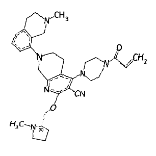 C=CC(=O)N1CCN(c2c(C#N)c(OC[C@@H]3CCCN3C)nc3c2CCN(c2cccc4c2CN(C)CC4)C3)CC1